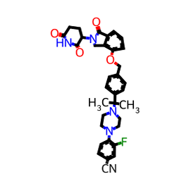 CC(C)(c1ccc(COc2cccc3c2CN(C2CCC(=O)NC2=O)C3=O)cc1)N1CCN(c2ccc(C#N)cc2F)CC1